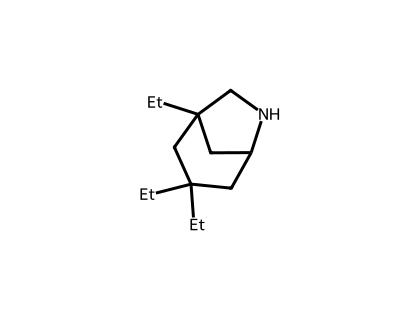 CCC1(CC)CC2CC(CC)(CN2)C1